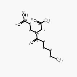 CCCCCC(=O)N(CCC(=O)O)CC(=O)O